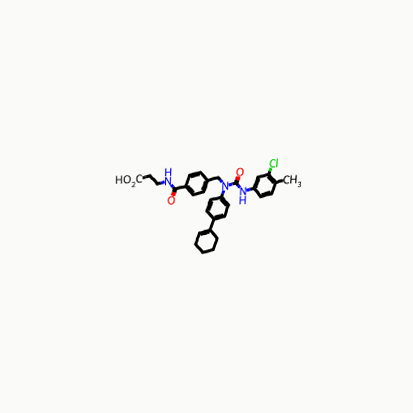 Cc1ccc(NC(=O)N(Cc2ccc(C(=O)NCCC(=O)O)cc2)c2ccc(C3=CCCCC3)cc2)cc1Cl